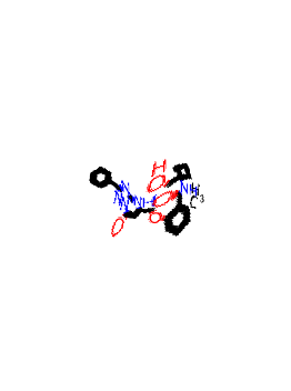 Cc1cccc(OCc2cc(=O)n3nc(-c4ccccc4)nc3[nH]2)c1C(=O)NC1(CO)CCC1